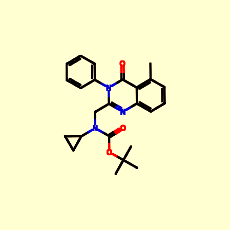 Cc1cccc2nc(CN(C(=O)OC(C)(C)C)C3CC3)n(-c3ccccc3)c(=O)c12